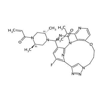 C=CC(=O)N1C[C@H](C)N(c2nc(=O)n3c4nc(c(F)cc24)-c2cn(nn2)CCCOc2ccnc(C(C)C)c2-3)C[C@H]1C